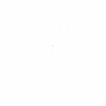 C=CCN1Cc2nc(N3CCC(OCC4(C)CC4)C4CC43)c(C)c(C)c2C1=O